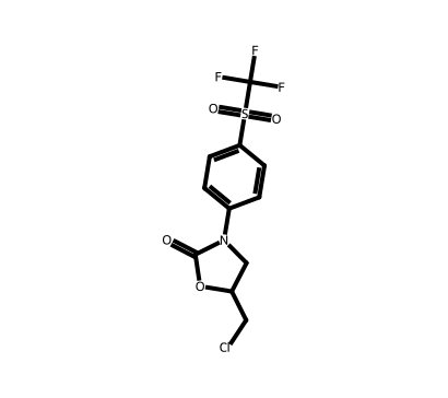 O=C1OC(CCl)CN1c1ccc(S(=O)(=O)C(F)(F)F)cc1